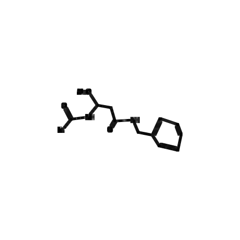 CCC(=O)NC(CC(=O)NCc1ccccc1)OC